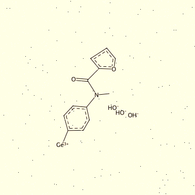 CN(C(=O)c1ccco1)c1cc[c]([Ge+3])cc1.[OH-].[OH-].[OH-]